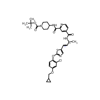 C[C@@H](/C=C/c1cnc(Oc2ccc(OCC3CC3)cc2Cl)s1)NC(=O)c1ccnc(C(=O)NC2CCN(C(=O)OC(C)(C)C)CC2)c1